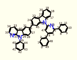 c1ccc(-c2cc(-c3ccccc3)nc(-n3c4ccccc4c4ccc(-c5ccc6c(c5)c5cccnc5n6-c5ccccc5)cc43)c2)cc1